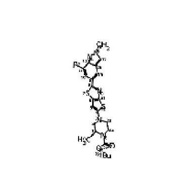 CC1CN(c2cc3sc(-c4cc(F)c5nn(C)cc5c4)nc3s2)CCN1C(=O)OC(C)(C)C